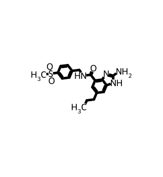 CCCc1cc(C(=O)NCc2ccc(S(C)(=O)=O)cc2)c2nc(N)[nH]c2c1